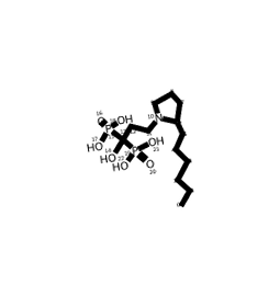 CCCCCCC1CCCN1CCC(O)(P(=O)(O)O)P(=O)(O)O